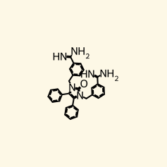 N=C(N)c1cccc(Cn2c(-c3ccccc3)c(-c3ccccc3)n(Cc3cccc(C(=N)N)c3)c2=O)c1